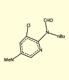 CCCCN(C=O)c1ncc(NC)cc1Cl